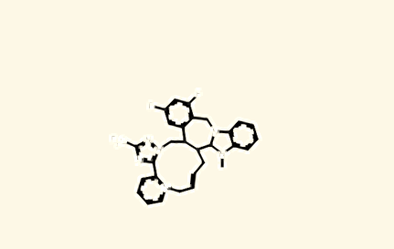 CN1c2ccccc2N2Cc3c(F)cc(F)cc3C3Cn4nc(C(F)(F)F)nc4-c4cccc[n+]4C/C=C/CC3C12